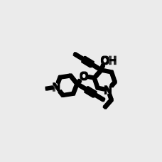 CC#CC1(OC2CN(CC)CCC2(O)C#CC)CCN(C)CC1